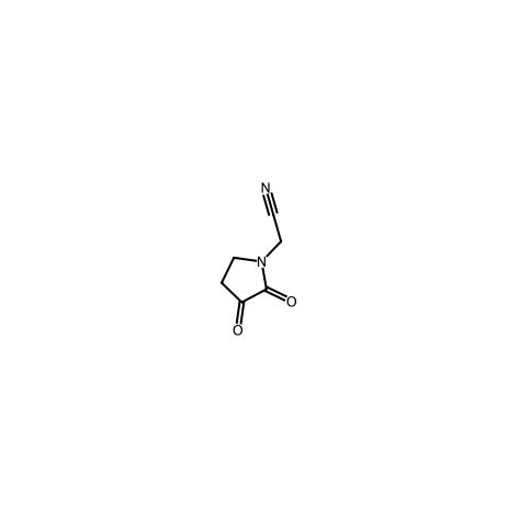 N#CCN1CCC(=O)C1=O